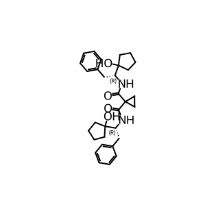 O=C(N[C@H](Cc1ccccc1)C1(O)CCCC1)C1(C(=O)N[C@H](Cc2ccccc2)C2(O)CCCC2)CC1